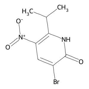 CC(C)c1[nH]c(=O)c(Br)cc1[N+](=O)[O-]